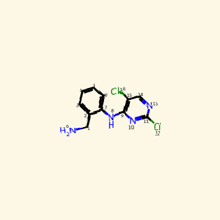 NCc1ccccc1Nc1nc(Cl)ncc1Cl